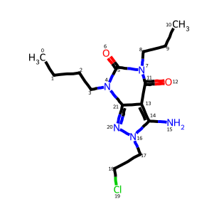 CCCCn1c(=O)n(CCC)c(=O)c2c(N)n(CCCl)nc21